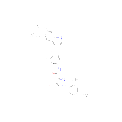 CCOc1cn(-c2ccc(OC)cc2C)nc1C(=O)Nc1ccc(Oc2ccnc3cc(OC)c(OC)cc23)c(F)c1